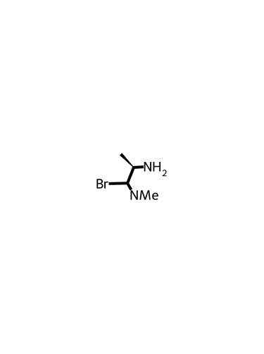 CNC(Br)[C@@H](C)N